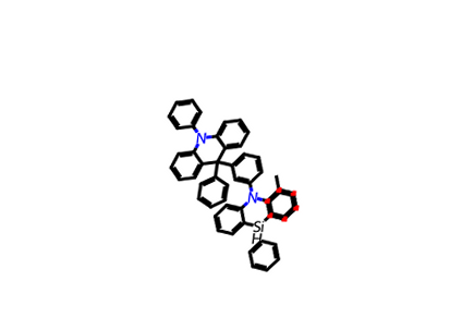 Cc1ccccc1N(c1cccc(C2(c3ccccc3)c3ccccc3N(c3ccccc3)c3ccccc32)c1)c1ccccc1[SiH](c1ccccc1)c1ccccc1